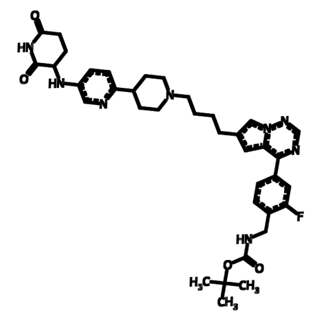 CC(C)(C)OC(=O)NCc1ccc(-c2ncnn3cc(CCCCN4CCC(c5ccc(NC6CCC(=O)NC6=O)cn5)CC4)cc23)cc1F